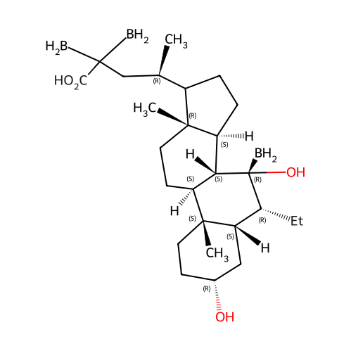 BC(B)(C[C@@H](C)C1CC[C@H]2[C@H]3[C@H](CC[C@]12C)[C@@]1(C)CC[C@@H](O)C[C@H]1[C@@H](CC)[C@@]3(B)O)C(=O)O